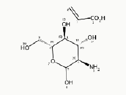 C=CC(=O)O.N[C@H]1C(O)O[C@H](CO)[C@@H](O)[C@@H]1O